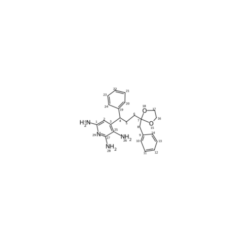 Nc1cc(C(CCC2(Cc3ccccc3)OCCO2)c2ccccc2)c(N)c(N)n1